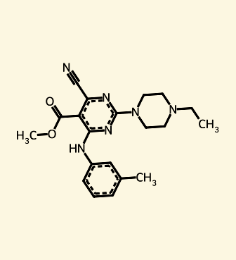 CCN1CCN(c2nc(C#N)c(C(=O)OC)c(Nc3cccc(C)c3)n2)CC1